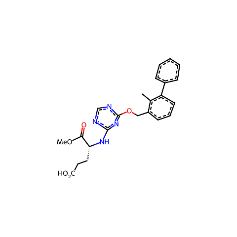 COC(=O)[C@@H](CCC(=O)O)Nc1ncnc(OCc2cccc(-c3ccccc3)c2C)n1